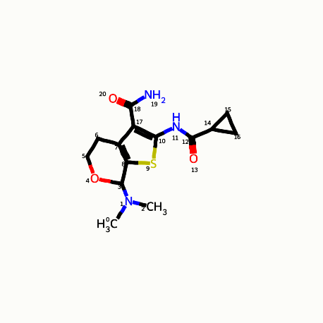 CN(C)C1OCCc2c1sc(NC(=O)C1CC1)c2C(N)=O